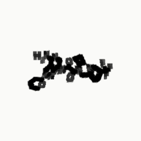 Nc1ncc(NC(=O)C(=O)N(Cc2ccc(C(F)(F)F)cn2)C2CCC2)c2nn(C3CCCCO3)cc12